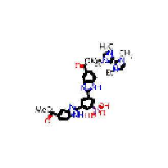 CCN1C=CN(C)C1.CCN1C=CN(C)C1.COC(=O)c1ccc2[nH]c(-c3cc(-c4nc5cc(C(=O)OC)ccc5[nH]4)cc(P(=O)(O)O)c3)nc2c1